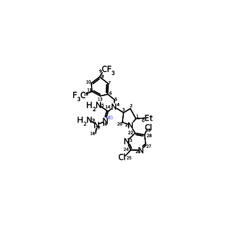 CCC1CC(N(Cc2cc(C(F)(F)F)cc(C(F)(F)F)c2)/C(N)=N/N(C)N)CN1c1nc(Cl)ncc1Cl